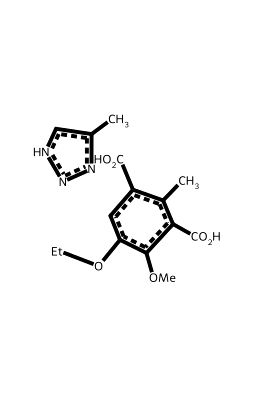 CCOc1cc(C(=O)O)c(C)c(C(=O)O)c1OC.Cc1c[nH]nn1